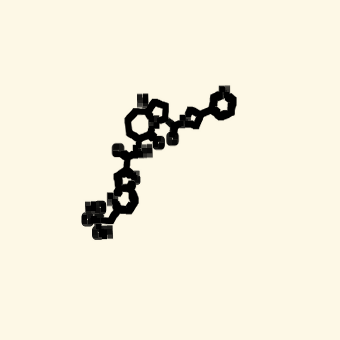 O=C(N[C@H]1CCC[C@H]2CC[C@@H](C(=O)N3CC(c4cccnc4)C3)N2C1=O)c1cc2nc(CP(=O)(O)O)ccc2s1